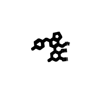 Cc1ccc(Cc2cc(C3CC(C)CC(O)C3O)c(CC(C)C)c3c2CCC3)cc1